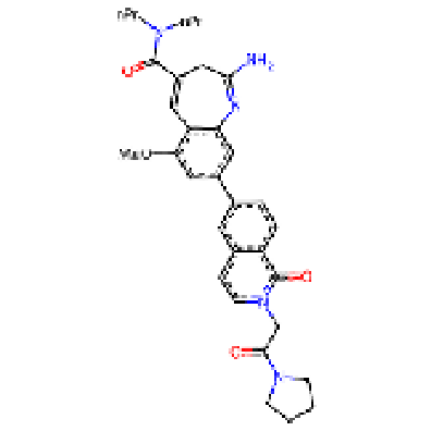 CCCN(CCC)C(=O)C1=Cc2c(cc(-c3ccc4c(=O)n(CC(=O)N5CCCC5)ccc4c3)cc2OC)N=C(N)C1